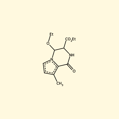 CCOC(=O)C1NC(=O)c2c(C)ccn2C1OCC